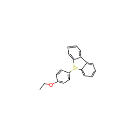 CCOc1ccc(-[s+]2c3ccccc3c3ccccc32)cc1